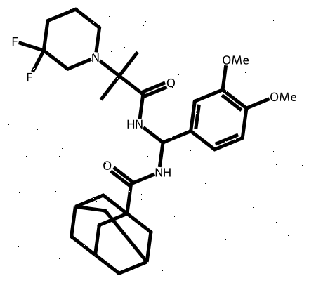 COc1ccc(C(NC(=O)C23CC4CC(CC(C4)C2)C3)NC(=O)C(C)(C)N2CCCC(F)(F)C2)cc1OC